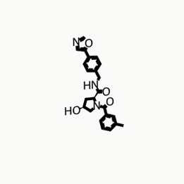 Cc1cccc(C(=O)N2C[C@H](O)C[C@H]2C(=O)NCc2ccc(-c3cnco3)cc2)c1